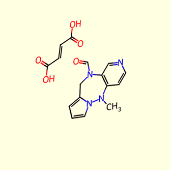 CN1c2ccncc2N(C=O)Cc2cccn21.O=C(O)C=CC(=O)O